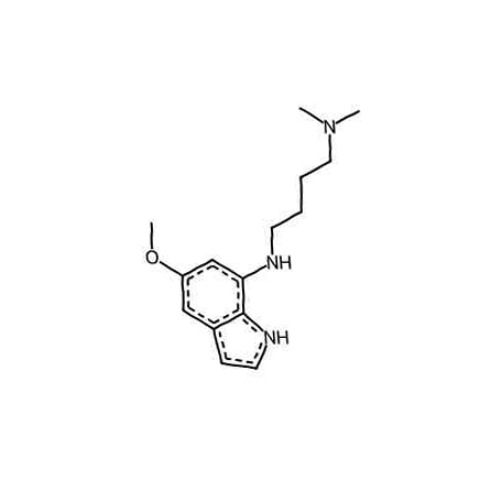 COc1cc(NCCCCN(C)C)c2[nH]ccc2c1